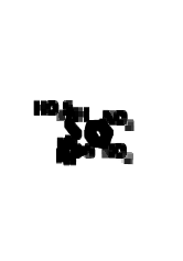 O=[N+]([O-])c1ccc(Sc2nnnn2CCNS(=O)(=O)O)c([N+](=O)[O-])c1